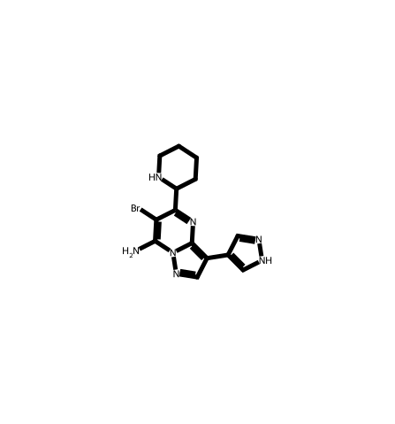 Nc1c(Br)c(C2CCCCN2)nc2c(-c3cn[nH]c3)cnn12